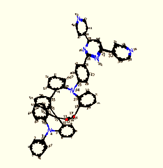 c1ccc(N2c3ccccc3C3(c4ccccc4-c4ccccc4N(c4ccc(-c5nc(-c6ccncc6)cc(-c6ccncc6)n5)cc4)c4ccccc4-c4ccccc43)c3ccccc32)cc1